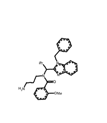 COc1ccccc1C(=O)N(CCCN)C(c1nc2ccccc2n1Cc1ccccc1)C(C)C